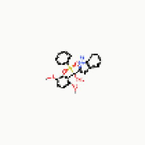 COc1ccc(OC)c(C(O)(c2cc3ccccc3[nH]2)S(=O)(=O)c2ccccc2)c1